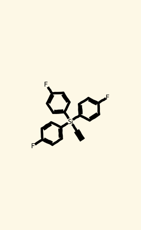 C#C[Si](c1ccc(F)cc1)(c1ccc(F)cc1)c1ccc(F)cc1